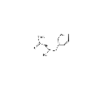 CCCCCC(=O)NC(C#N)Cc1ccccc1